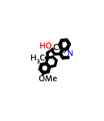 COc1ccc2c(c1)CCCC2(C)CC(O)(Cc1ccnc2ccccc12)C(F)(F)F